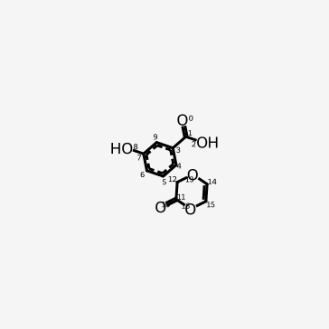 O=C(O)c1cccc(O)c1.O=C1COC=CO1